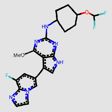 COc1nc(NC2CCC(OC(F)F)CC2)nc2[nH]cc(-c3cc(F)c4nccn4c3)c12